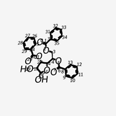 O=C(OC[C@@H](OC(=O)c1ccccc1)[C@H]1OC(O)[C@H](O)[C@@H]1OC(=O)c1ccccc1)c1ccccc1